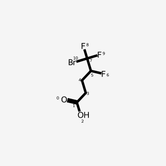 O=C(O)CCC(F)C(F)(F)Br